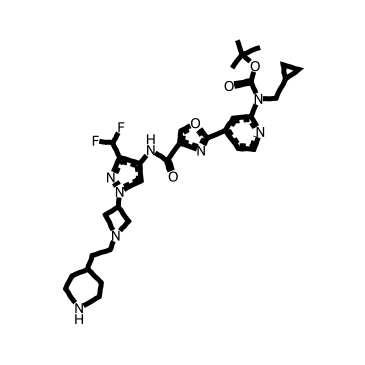 CC(C)(C)OC(=O)N(CC1CC1)c1cc(-c2nc(C(=O)Nc3cn(C4CN(CCC5CCNCC5)C4)nc3C(F)F)co2)ccn1